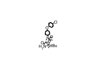 CC(C)(C)[Si](C)(C)O[C@@H](CN(c1ccc(Oc2ccc(Cl)cc2)cc1)S(C)(=O)=O)C(N)=O